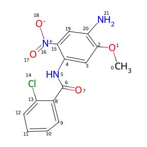 COc1cc(NC(=O)c2ccccc2Cl)c([N+](=O)[O-])cc1N